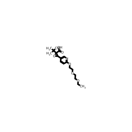 CCOCCOCCOc1ccc(C2OC2(C(=O)O)C(C)(C)C)cn1